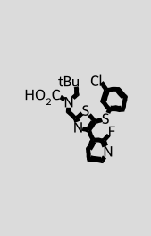 CC(C)(C)CN(Cc1nc(-c2cccnc2F)c(Sc2cccc(Cl)c2)s1)C(=O)O